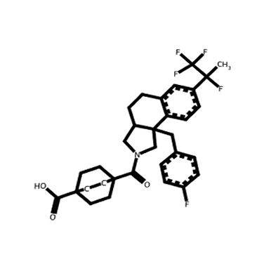 CC(F)(c1ccc2c(c1)CCC1CN(C(=O)C34CCC(C(=O)O)(CC3)CC4)CC21Cc1ccc(F)cc1)C(F)(F)F